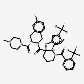 CCC[C@H]1N(C(=O)c2ncccc2C(F)(F)F)CCC[C@]1(Oc1csc(C(F)(F)F)c1)C(=O)N1Cc2ccc(F)cc2C[C@H]1C(=O)N1CCN(C)CC1